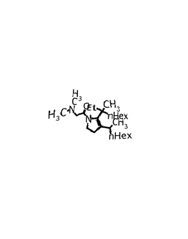 CCCCCCC(C)C1=C(C(C)(CC)CCCCCC)N(C(=O)CN(C)C)CC1